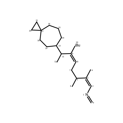 C=N/C=C(/C)C(C)C/C=C(/C(C)CC)C(C)C1CCCC2(CC1)CC2